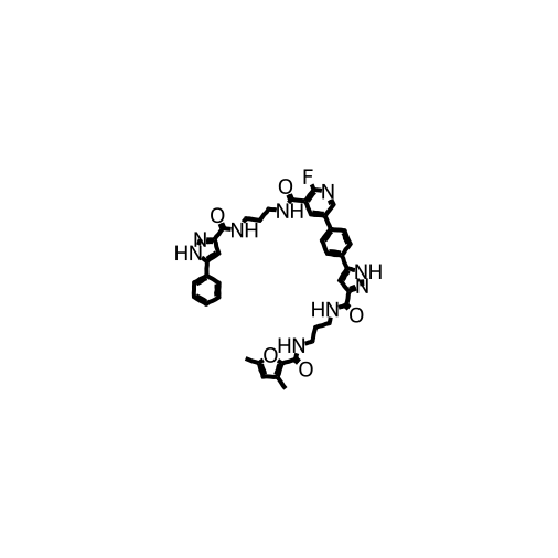 Cc1cc(C)c(C(=O)NCCCNC(=O)c2cc(-c3ccc(-c4cnc(F)c(C(=O)NCCCNC(=O)c5cc(-c6ccccc6)[nH]n5)c4)cc3)[nH]n2)o1